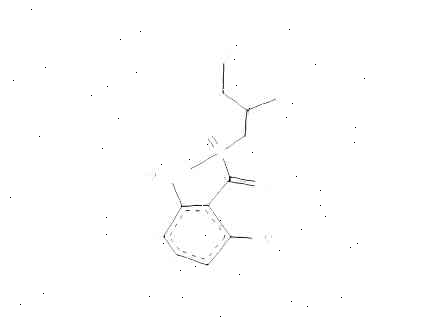 COc1cccc(OC)c1C(=O)P(C)(=O)CC(C)CC(C)(C)C